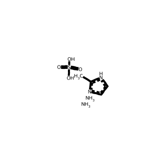 Cc1ncc[nH]1.N.N.O=S(=O)(O)O